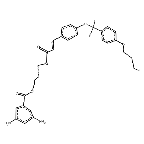 Nc1cc(N)cc(C(=O)OCCCOC(=O)C=Cc2ccc(OC(F)(F)c3ccc(OCCCF)cc3)cc2)c1